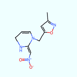 Cc1cc(CN2C=CCNC2=C[N+](=O)[O-])on1